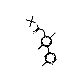 Cc1cc(-c2cc(F)c(CC(=O)OC(C)(C)C)cc2C)ccn1